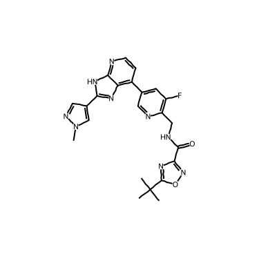 Cn1cc(-c2nc3c(-c4cnc(CNC(=O)c5noc(C(C)(C)C)n5)c(F)c4)ccnc3[nH]2)cn1